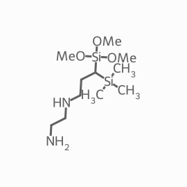 CO[Si](OC)(OC)C(CCNCCN)[Si](C)(C)C